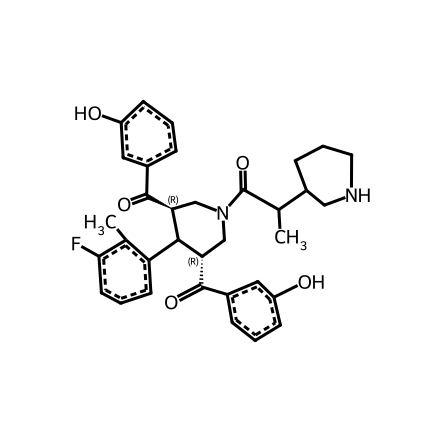 Cc1c(F)cccc1C1[C@@H](C(=O)c2cccc(O)c2)CN(C(=O)C(C)C2CCCNC2)C[C@@H]1C(=O)c1cccc(O)c1